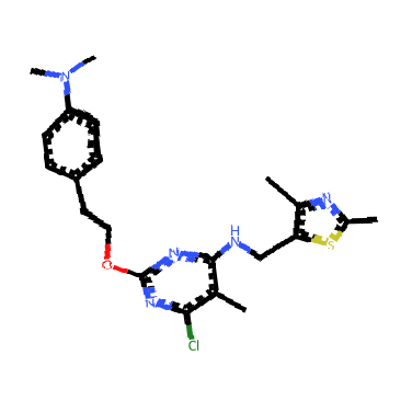 Cc1nc(C)c(CNc2nc(OCCc3ccc(N(C)C)cc3)nc(Cl)c2C)s1